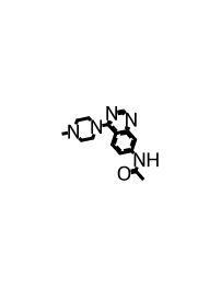 CC(=O)Nc1ccc2c(N3CCN(C)CC3)ncnc2c1